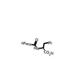 CCCCCC(=O)N[C@@H](CC(C)C)C(=O)O